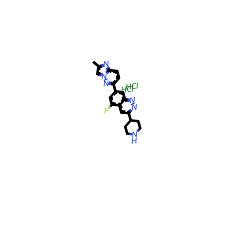 Cc1cn2nc(-c3cc(F)c4cc(C5CCNCC5)nnc4c3)ccc2n1.Cl.Cl